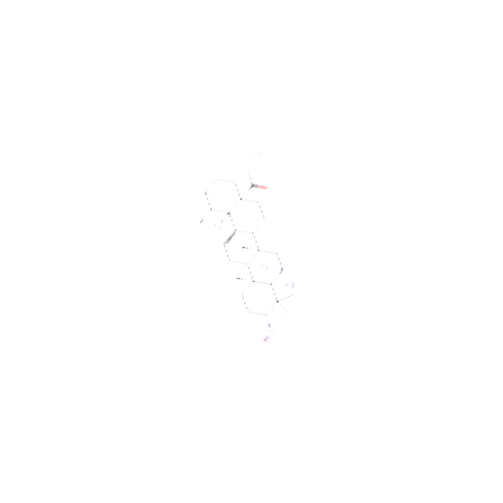 C[C@H]1CCC[C@]2(C(=O)ON)CC[C@]3(C)C(=CC[C@]4(N)[C@@]5(C)CC[C@H](N=O)C(C)(C)[C@]5(N)CC[C@]43C)[C@]12N